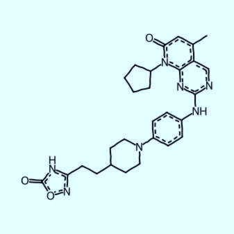 Cc1cc(=O)n(C2CCCC2)c2nc(Nc3ccc(N4CCC(CCc5noc(=O)[nH]5)CC4)cc3)ncc12